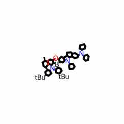 Cc1ccc(-c2cc(C(C)(C)C)ccc2N2c3cc(C(C)(C)C)ccc3B3c4cc5c(cc4Oc4cccc2c43)c2ccc3cc(N(c4ccccc4)c4ccccc4)ccc3c2n5-c2ccccc2)cc1